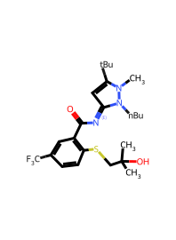 CCCCn1/c(=N/C(=O)c2cc(C(F)(F)F)ccc2SCC(C)(C)O)cc(C(C)(C)C)n1C